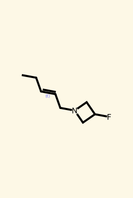 CC/C=C/CN1CC(F)C1